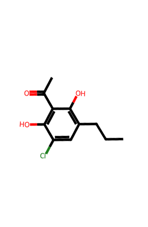 CCCc1cc(Cl)c(O)c(C(C)=O)c1O